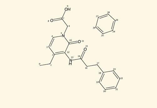 CCc1ccn(CC(=O)O)c(=O)c1NC(=O)CCc1ccccc1.c1ccccc1